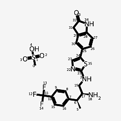 CS(=O)(=O)O.C[C@@H](c1ccc(C(F)(F)F)cc1)[C@H](N)CNc1ncc(-c2ccc3c(c2)CC(=O)N3)s1